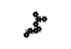 c1ccc(-c2nc(-c3ccccc3)nc(-c3cccc(-c4cccc5cnc(-c6ccc7sc8ccccc8c7n6)cc45)c3)n2)cc1